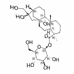 C[C@@]1(C(=O)O[C@@H]2O[C@H](CO)[C@@H](O)[C@H](O)[C@H]2O)CCC[C@]2(C)[C@@H]1CC[C@@]13C[C@@H](CC[C@]12O)[C@@](O)(CO)C3